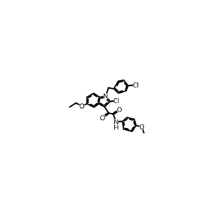 CCOc1ccc2c(c1)c(C(=O)C(=O)Nc1ccc(OC)cc1)c(Cl)n2Cc1ccc(Cl)cc1